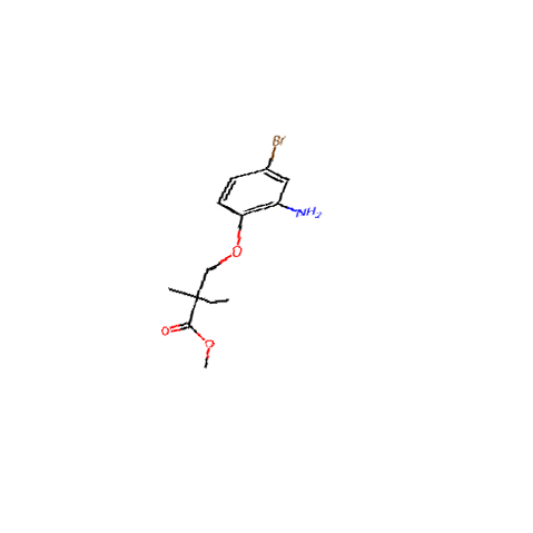 COC(=O)C(C)(C)COc1ccc(Br)cc1N